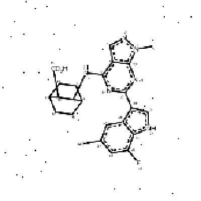 Cn1ncc2c(NC3C4CCC(CC4)C3C(=O)O)nc(-c3c[nH]c4c(F)cc(F)cc34)nc21